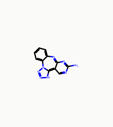 Nc1ncc2c(n1)=Nc1ccccc1N1N=NNC=21